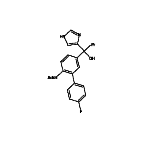 CC(=O)Nc1ccc(C(O)(c2c[nH]cn2)C(C)C)cc1-c1ccc(F)cc1